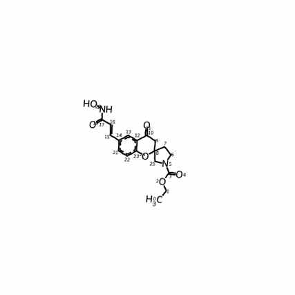 CCOC(=O)N1CCC2(CC(=O)c3cc(C=CC(=O)NO)ccc3O2)C1